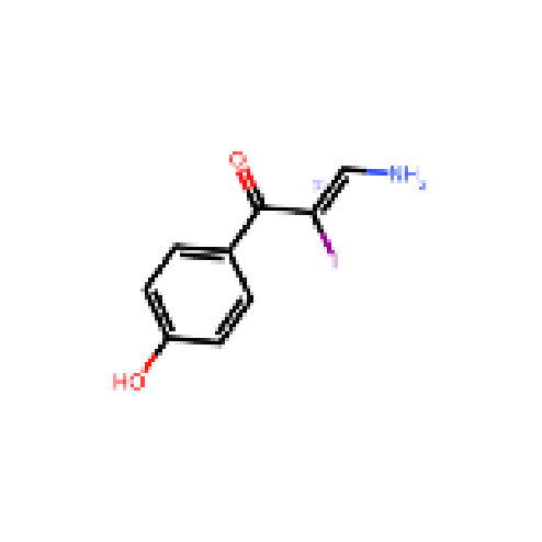 N/C=C(\I)C(=O)c1ccc(O)cc1